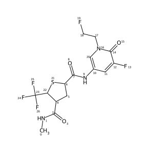 CNC(=O)C1CC(C(=O)Nc2cc(F)c(=O)n(CCF)c2)SC1C(F)(F)F